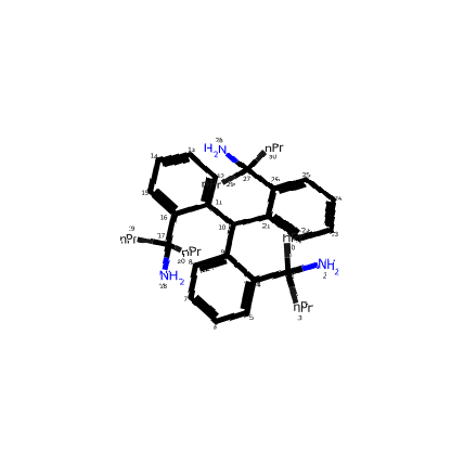 CCCC(N)(CCC)c1ccccc1C(c1ccccc1C(N)(CCC)CCC)c1ccccc1C(N)(CCC)CCC